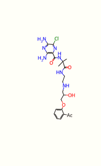 CC(=O)c1ccccc1OCC(O)CNCCNC(=O)C(C)(C)NC(=O)c1nc(Cl)c(N)nc1N